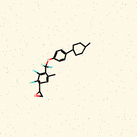 Cc1cc(C2CO2)c(F)c(F)c1C(F)(F)Oc1ccc(C2CCC(C)CC2)cc1